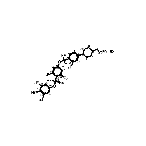 CCCCCCOCC1CCC(c2ccc(C(F)(F)Oc3cc(F)c(C(F)(F)Oc4cc(F)c(C#N)c(F)c4)c(F)c3)c(F)c2)SC1